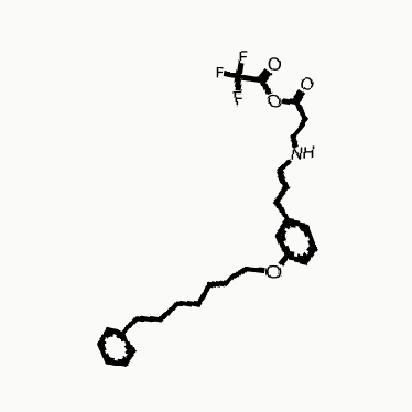 O=C(CCNCCCc1cccc(OCCCCCCCc2ccccc2)c1)OC(=O)C(F)(F)F